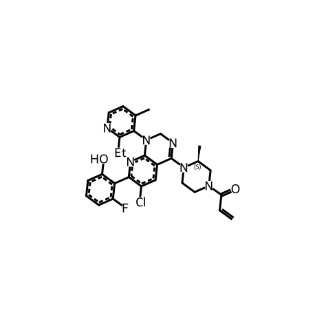 C=CC(=O)N1CCN(C2=NCN(c3c(C)ccnc3CC)c3nc(-c4c(O)cccc4F)c(Cl)cc32)[C@@H](C)C1